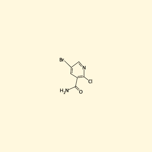 NC(=O)c1cc(Br)cnc1Cl